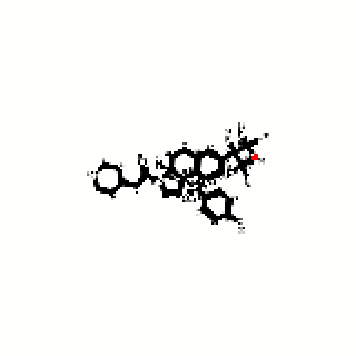 O=C(CC1CCOCC1)N1CC[C@@]2(S(=O)(=O)c3ccc(F)cc3)c3ccc(C(F)(C(F)(F)F)C(F)(F)F)cc3CC[C@@H]12